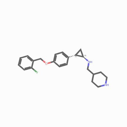 Fc1ccccc1COc1ccc([C@@H]2C[C@H]2NCC2CCNCC2)cc1